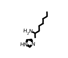 CCCCCCC(C)N.c1c[nH]cn1